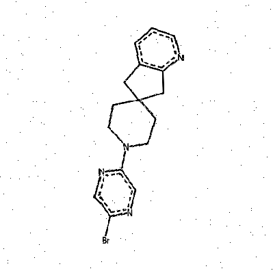 Brc1cnc(N2CCC3(CC2)Cc2cccnc2C3)cn1